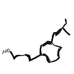 CC(C)=Cc1cccc(CCCO)c1